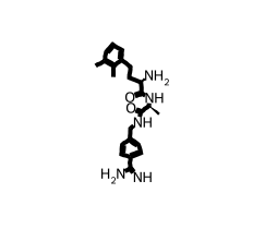 Cc1cccc(CC[C@@H](N)C(=O)N[C@@H](C)C(=O)NCc2ccc(C(=N)N)cc2)c1C